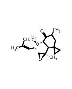 CO[C@@H]1C(=O)[C@@H](C)CC2(CC2)[C@H]1[C@@]1(C)O[C@@H]1CC=C(C)C